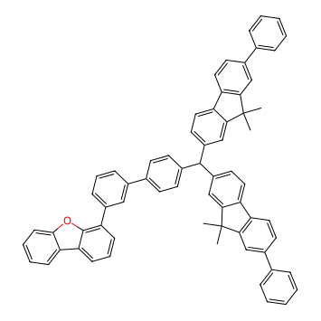 CC1(C)c2cc(-c3ccccc3)ccc2-c2ccc(C(c3ccc(-c4cccc(-c5cccc6c5oc5ccccc56)c4)cc3)c3ccc4c(c3)C(C)(C)c3cc(-c5ccccc5)ccc3-4)cc21